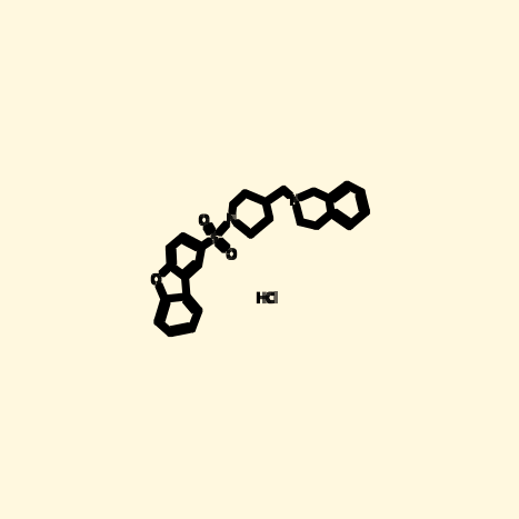 Cl.O=S(=O)(c1ccc2oc3ccccc3c2c1)N1CCC(CN2CCc3ccccc3C2)CC1